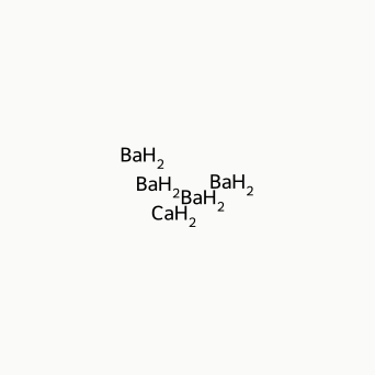 [BaH2].[BaH2].[BaH2].[BaH2].[CaH2]